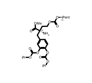 CCC[C@H](C)OC(=O)OCC[C@@](N)(Cc1ccc(OC(=O)OC(C)C)c(OC(=O)OC(C)C)c1)C(=O)OC